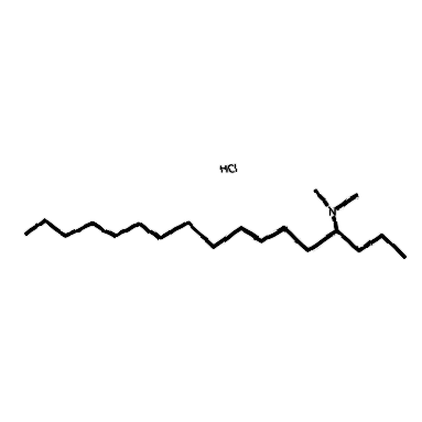 CCCCCCCCCCCCCC(CCC)N(C)C.Cl